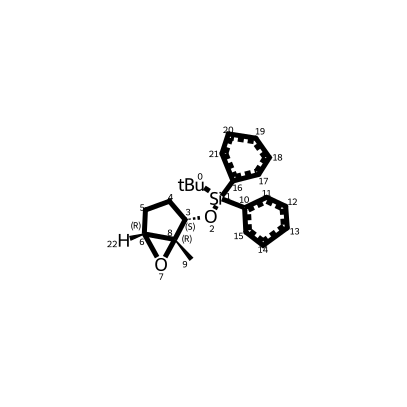 CC(C)(C)[Si](O[C@H]1CC[C@H]2O[C@@]12C)(c1ccccc1)c1ccccc1